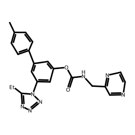 CCc1nnnn1-c1cc(OC(=O)NCc2cnccn2)cc(-c2ccc(C)cc2)c1